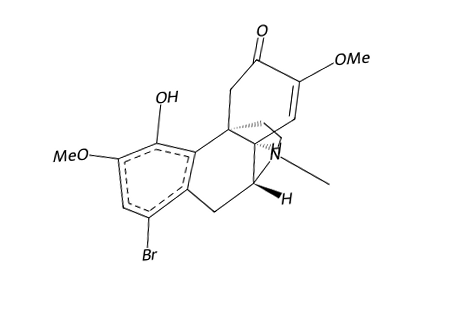 COC1=C[C@H]2[C@H]3Cc4c(Br)cc(OC)c(O)c4[C@@]2(CCN3C)CC1=O